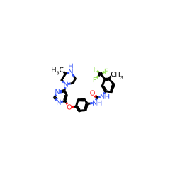 Cc1ccc(NC(=O)Nc2ccc(Oc3cc(N4CCNC(C)C4)ncn3)cc2)cc1C(F)(F)F